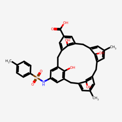 Cc1ccc(S(=O)(=O)Nc2cc3c(O)c(c2)Cc2cc(C(=O)O)cc(c2O)Cc2cc(C)cc(c2O)Cc2cc(C)cc(c2O)C3)cc1